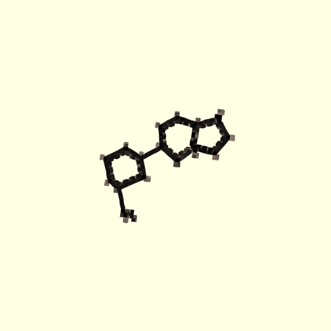 Nc1cccc(-c2ccc3nccn3c2)c1